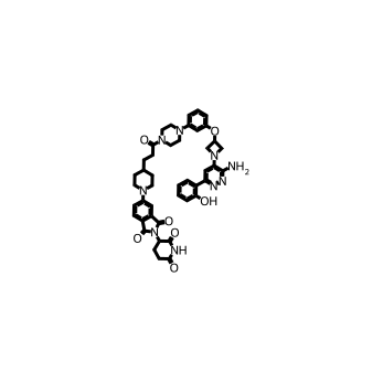 Nc1nnc(-c2ccccc2O)cc1N1CC(Oc2cccc(N3CCN(C(=O)CCC4CCN(c5ccc6c(c5)C(=O)N(C5CCC(=O)NC5=O)C6=O)CC4)CC3)c2)C1